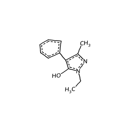 CCn1nc(C)c(-c2ccccc2)c1O